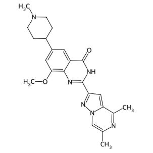 COc1cc(C2CCN(C)CC2)cc2c(=O)[nH]c(-c3cc4c(C)nc(C)cn4n3)nc12